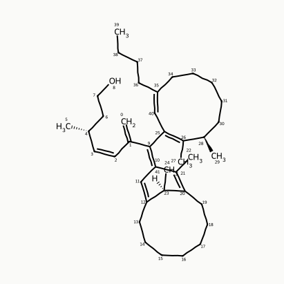 C=C(/C=C\[C@H](C)CCO)C(=C1\C=C2CCCCCCCC(=C1C)[C@@H]2C)/C1=C(\C)[C@H](C)CCCCC/C(CCCC)=C\1